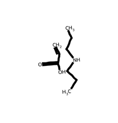 C=CC(=O)O.CCCNCCC